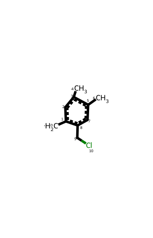 [CH2]c1cc(C)c(C)cc1CCl